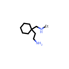 CCNCC1(CCN)CCCCC1